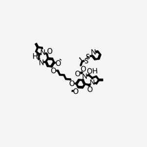 C=C1CC2C(O)N(C(=O)OC[C@@H](C)SSc3ccccn3)c3cc(OCCCCCOc4cc5c(cc4OC)C(=O)N4CC(=C)C[C@H]4C=N5)c(OC)cc3C(=O)N2C1